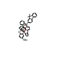 CC(C)(C)c1ccc2c(c1)C1(c3cc(C(C)(C)C)ccc3O2)c2ccccc2-c2ccc(N(c3ccc4c(c3)C(C)(C)c3ccccc3-4)c3ccccc3-c3ccccc3)cc21